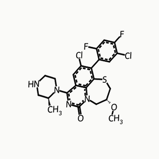 CO[C@H]1CSc2c(-c3cc(Cl)c(F)cc3F)c(Cl)cc3c(N4CCNC[C@@H]4C)nc(=O)n(c23)C1